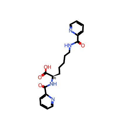 O=C(NCCCCC[C@@H](NC(=O)c1ccccn1)C(=O)O)c1ccccn1